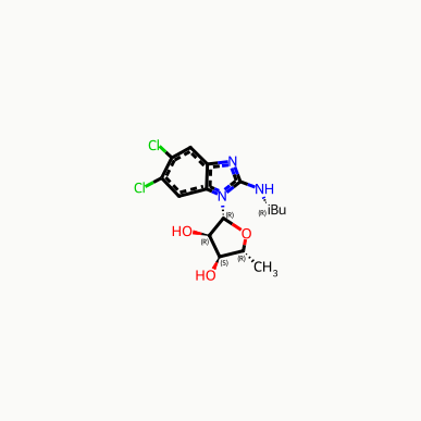 CC[C@@H](C)Nc1nc2cc(Cl)c(Cl)cc2n1[C@@H]1O[C@H](C)[C@@H](O)[C@H]1O